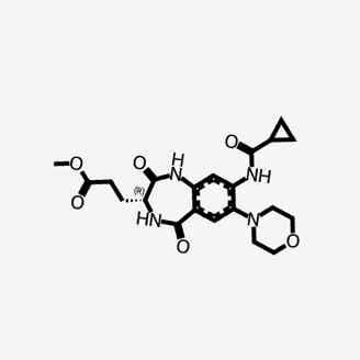 COC(=O)CC[C@H]1NC(=O)c2cc(N3CCOCC3)c(NC(=O)C3CC3)cc2NC1=O